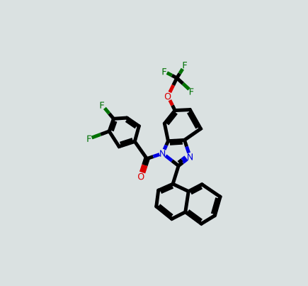 O=C(c1ccc(F)c(F)c1)n1c(-c2cccc3ccccc23)nc2ccc(OC(F)(F)F)cc21